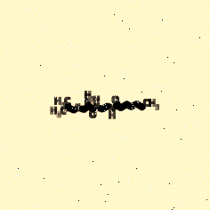 CCCCCCC(=O)NCCNC(=O)[C@@H](N)CSCC(C)C